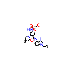 O=C(Nc1cccc2c1ccn2CC1CC1)c1ccc(NS(=O)(=O)CCO)cc1N1CCC2(CC1)CC2